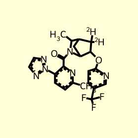 [2H]C1([2H])C2CC(C1Oc1ccc(C(F)(F)F)cn1)N(C(=O)c1nc(C)ccc1-n1nccn1)C2C